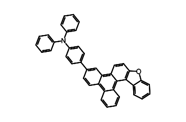 c1ccc(N(c2ccccc2)c2ccc(-c3ccc4c5ccccc5c5c(ccc6oc7ccccc7c65)c4c3)cc2)cc1